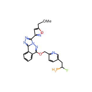 COCc1cc(-c2nnc3c4ccccc4c(OCc4ccc(CC(F)P)cn4)nn23)no1